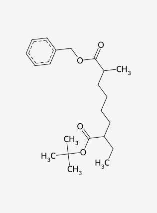 CCC(CCCCC(C)C(=O)OCc1ccccc1)C(=O)OC(C)(C)C